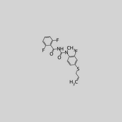 C=CCSc1ccc(N(C)C(=O)NC(=O)c2c(F)cccc2F)c(F)c1